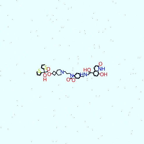 O=C(OC1CC2(CCN(CCCn3c(=O)oc4cc(CNC[C@H](O)c5ccc(O)c6[nH]c(=O)ccc56)ccc43)CC2)C1)C(O)(c1cccs1)c1cccs1